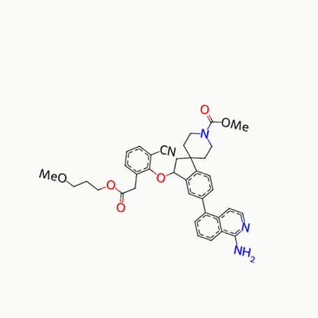 COCCCOC(=O)Cc1cccc(C#N)c1OC1CC2(CCN(C(=O)OC)CC2)c2ccc(-c3cccc4c(N)nccc34)cc21